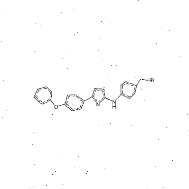 CC(C)Cc1ccc(Nc2nc(-c3ccc(Oc4ccccc4)cc3)cs2)cc1